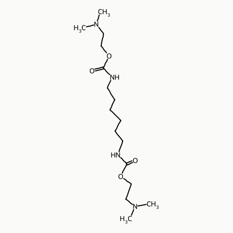 CN(C)CCOC(=O)NCCCCCCNC(=O)OCCN(C)C